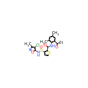 CCC(=O)c1cc(C)cc(C)c1NC(=O)c1sccc1[S+]([O-])Nc1onc(C)c1Cl